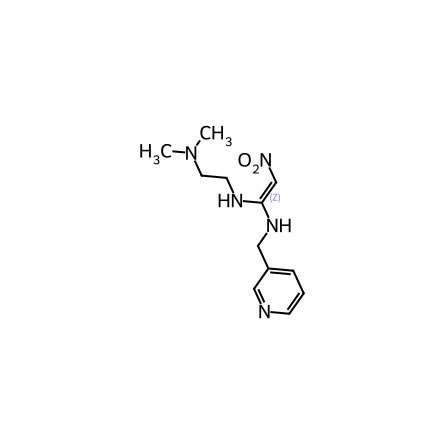 CN(C)CCN/C(=C\[N+](=O)[O-])NCc1cccnc1